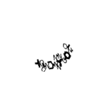 CC(=O)N(C)c1ccc(Oc2ncnc3c2cnn3C2CCN(C(=O)OC(C)(C)C)CC2)cc1